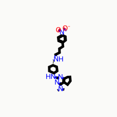 CN(C)c1nc(N[C@H]2CC[C@@H](CNCCCCc3ccc([N+](=O)[O-])cc3)CC2)nc2c1CCCC2